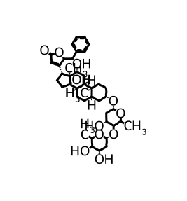 CC1O[C@H](OC2C(C)O[C@@H](O[C@H]3CC[C@@]4(C)[C@H](CC[C@@H]5[C@@H]4C[C@@H](O)[C@]4(C)[C@@H](C6=CC(=O)OC6Cc6ccccc6)CC[C@]54O)C3)C[C@H]2O)C[C@@H](O)C1O